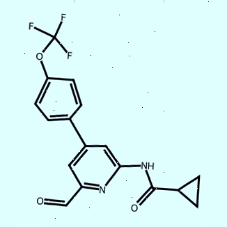 O=Cc1cc(-c2ccc(OC(F)(F)F)cc2)cc(NC(=O)C2CC2)n1